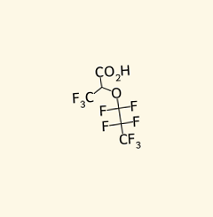 O=C(O)C(OC(F)(F)C(F)(F)C(F)(F)F)C(F)(F)F